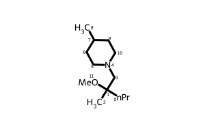 CCCC(C)(CN1CCC(C)CC1)OC